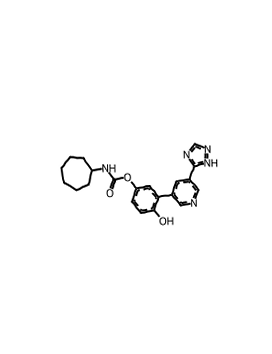 O=C(NC1CCCCCC1)Oc1ccc(O)c(-c2cncc(-c3ncn[nH]3)c2)c1